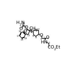 CCOC(=O)CNC(=O)COC1CCN([C@@](C)(Cc2ccccc2)C(=O)OC(N)=O)CC1